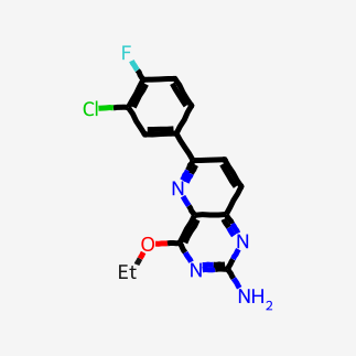 CCOc1nc(N)nc2ccc(-c3ccc(F)c(Cl)c3)nc12